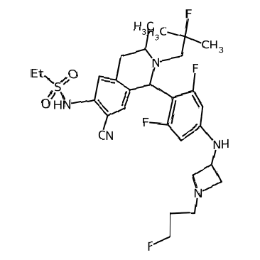 CCS(=O)(=O)Nc1cc2c(cc1C#N)C(c1c(F)cc(NC3CN(CCCF)C3)cc1F)N(CC(C)(C)F)C(C)C2